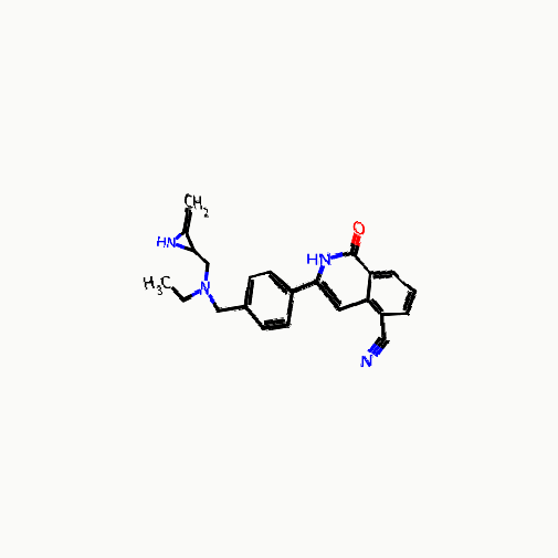 C=C1NC1CN(CC)Cc1ccc(-c2cc3c(C#N)cccc3c(=O)[nH]2)cc1